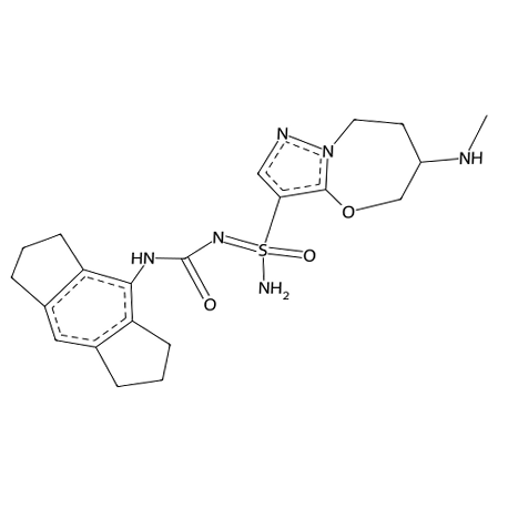 CNC1CCn2ncc(S(N)(=O)=NC(=O)Nc3c4c(cc5c3CCC5)CCC4)c2OC1